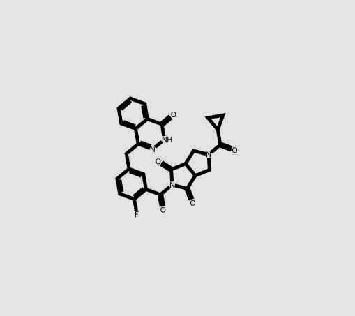 O=C(C1CC1)N1CC2C(=O)N(C(=O)c3cc(Cc4n[nH]c(=O)c5ccccc45)ccc3F)C(=O)C2C1